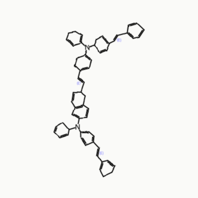 C1=CCC(N(c2ccc(/C=C/C3=CCCC=C3)cc2)c2ccc3c(c2)C=CC(/C=C/C2=CC=C(N(C4=CCCC=C4)C4C=CC(/C=C/c5ccccc5)=CC4)CC2)C3)C=C1